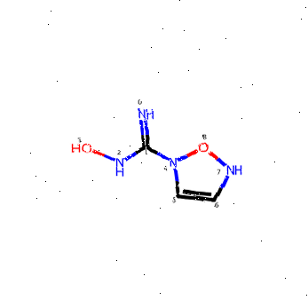 N=C(NO)N1C=CNO1